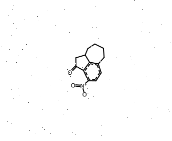 O=C1CC2CCCCc3ccc([N+](=O)[O-])c1c32